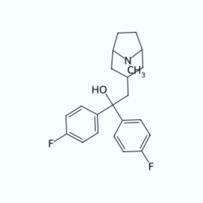 CN1C2CCC1CC(CC(O)(c1ccc(F)cc1)c1ccc(F)cc1)C2